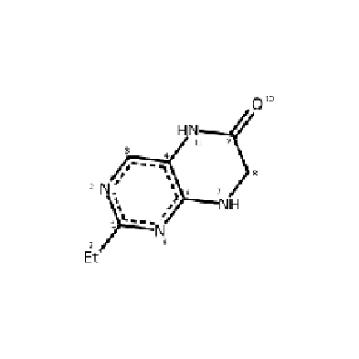 CCc1ncc2c(n1)NCC(=O)N2